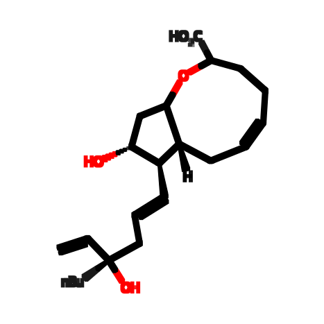 C=C[C@@](O)(C/C=C/[C@H]1[C@H](O)CC2OC(C(=O)O)CC/C=C\C[C@@H]21)CCCC